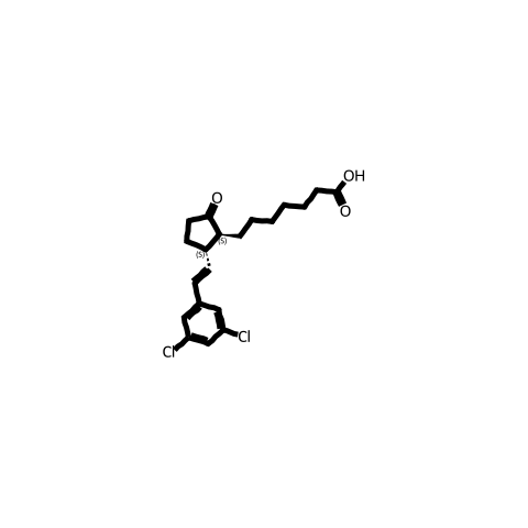 O=C(O)CCCCCC[C@@H]1C(=O)CC[C@H]1C=Cc1cc(Cl)cc(Cl)c1